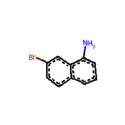 Nc1cccc2ccc(Br)cc12